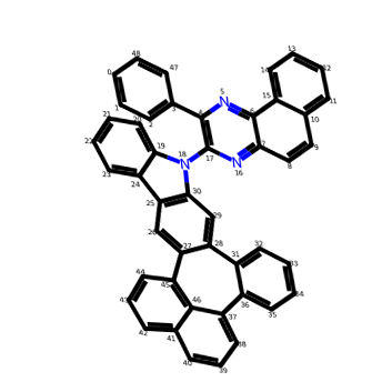 c1ccc(-c2nc3c(ccc4ccccc43)nc2-n2c3ccccc3c3cc4c(cc32)-c2ccccc2-c2cccc3cccc-4c23)cc1